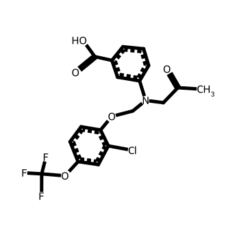 CC(=O)CN(COc1ccc(OC(F)(F)F)cc1Cl)c1cccc(C(=O)O)c1